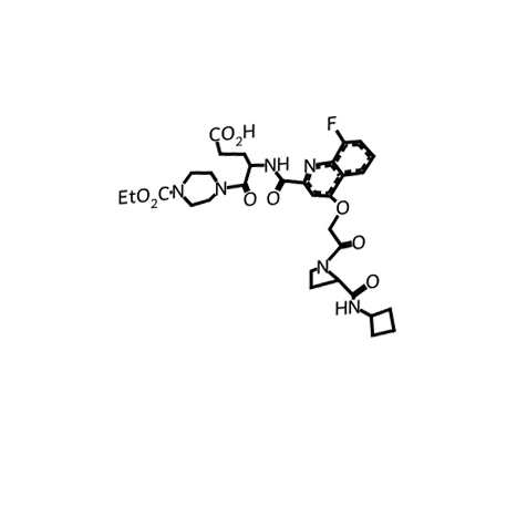 CCOC(=O)N1CCN(C(=O)C(CCC(=O)O)NC(=O)c2cc(OCC(=O)N3CCC3C(=O)NC3CCC3)c3cccc(F)c3n2)CC1